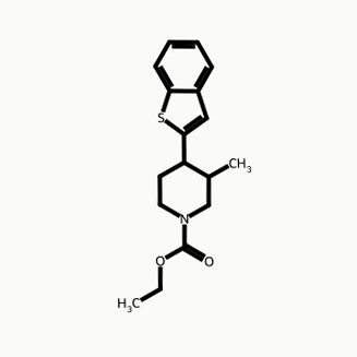 CCOC(=O)N1CCC(c2cc3ccccc3s2)C(C)C1